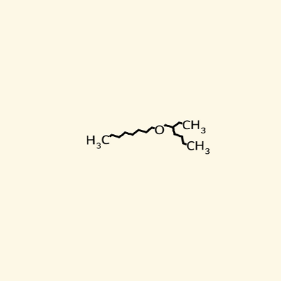 CCCCCCCCOCC(CC)CCCC